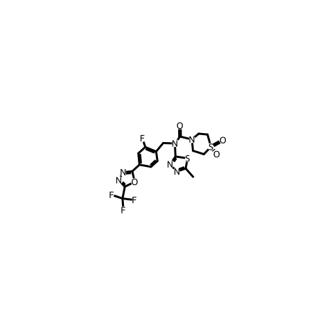 Cc1nnc(N(Cc2ccc(-c3nnc(C(F)(F)F)o3)cc2F)C(=O)N2CCS(=O)(=O)CC2)s1